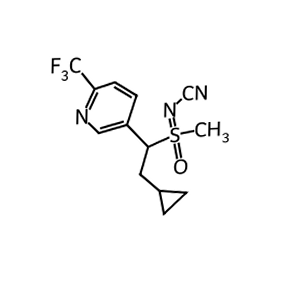 CS(=O)(=NC#N)C(CC1CC1)c1ccc(C(F)(F)F)nc1